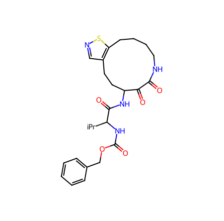 CC(C)C(NC(=O)OCc1ccccc1)C(=O)NC1CCc2cnsc2CCCCNC(=O)C1=O